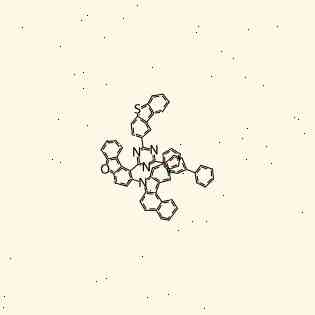 c1ccc(-c2ccc(-c3nc(-c4ccc5sc6ccccc6c5c4)nc(-c4c(-n5c6cc7ccccc7cc6c6c7ccccc7ccc65)ccc5oc6ccccc6c45)n3)cc2)cc1